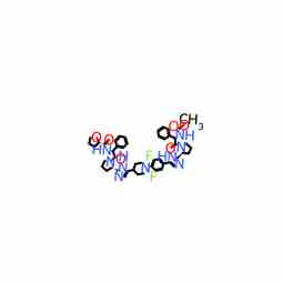 COC(=O)N[C@@H](C(=O)N1CCC[C@H]1c1ncc(-c2cc(F)c(N3CCC(c4cnc([C@@H]5CCCN5C(=O)[C@H](NC(=O)[C@@H]5CCCO5)c5ccccc5)[nH]4)CC3)c(F)c2)[nH]1)c1ccccc1